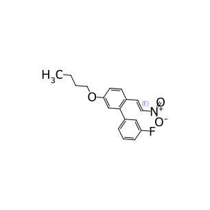 CCCCOc1ccc(/C=C/[N+](=O)[O-])c(-c2cccc(F)c2)c1